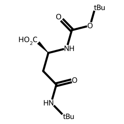 CC(C)(C)NC(=O)C[C@H](NC(=O)OC(C)(C)C)C(=O)O